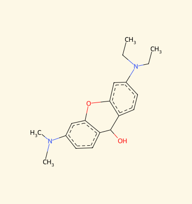 CCN(CC)c1ccc2c(c1)Oc1cc(N(C)C)ccc1C2O